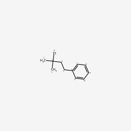 CCC(C)(C)CCc1ccccc1